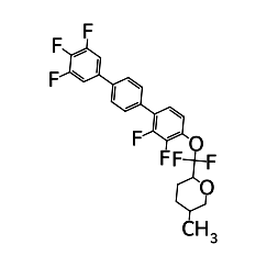 CC1CCC(C(F)(F)Oc2ccc(-c3ccc(-c4cc(F)c(F)c(F)c4)cc3)c(F)c2F)OC1